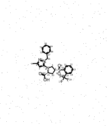 Cc1cc(N2C[C@H](S(=O)(=O)c3ccccc3C(F)(F)F)C[C@H]2C(=O)O)n(Cc2ccccc2)n1